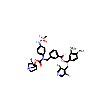 COc1ccc([C@H](Cc2c(Cl)cncc2Cl)OC(=O)c2cccc(CN(C(=O)O[C@H]3CN4CCC3CC4)c3ccc(NS(C)(=O)=O)cc3)c2)cc1OC